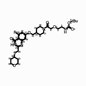 CC(C)(C)OC(=O)NCCOCC(=O)N1CCC(COc2cc(F)c3c(=O)[nH]c(CSC4CCOCC4)nc3c2)CC1